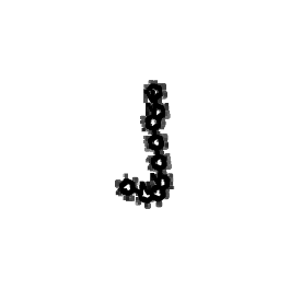 c1ccc(-c2ccc3ccc4ccc(-c5ccc(-c6ccc(-c7ccc8nc(-c9ccccn9)ccc8c7)cc6)cc5)nc4c3n2)cc1